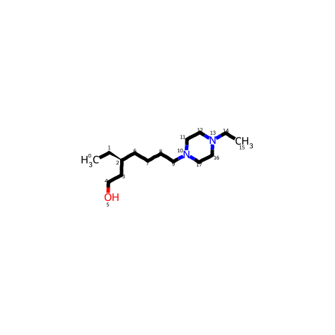 CC[C@H](CCO)CCCCN1CCN(CC)CC1